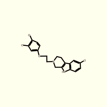 Clc1ccc2[nH]c3c(c2c1)CCN(CCOc1ccc(Cl)c(Cl)c1)C3